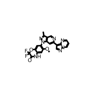 COc1cc2c(cc1-n1nc(C)c3cnc(-c4cnn5cccnc45)cc31)OC(F)(F)C(=O)N2